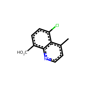 Cc1ccnc2c(C(=O)O)ccc(Cl)c12